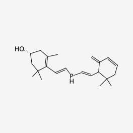 C=C1C=CCC(C)(C)C1/C=C/P/C=C/C1=C(C)C[C@@H](O)CC1(C)C